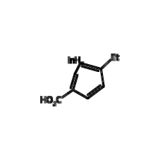 CCc1ccc(C(=O)O)cc1.[InH3]